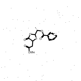 COC(=O)CC1SC([C@H](C)OC(=O)c2ccccc2)OC1=O